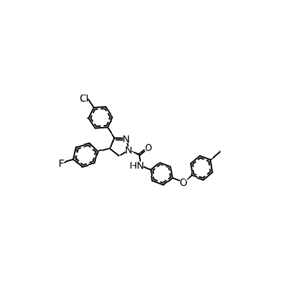 Cc1ccc(Oc2ccc(NC(=O)N3CC(c4ccc(F)cc4)C(c4ccc(Cl)cc4)=N3)cc2)cc1